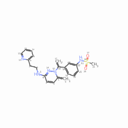 C=C1C=CC(NCCc2ccccn2)=NN1C(=C)c1cccc(NS(C)(=O)=O)c1